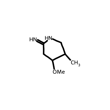 COC1CC(=N)NCC1C